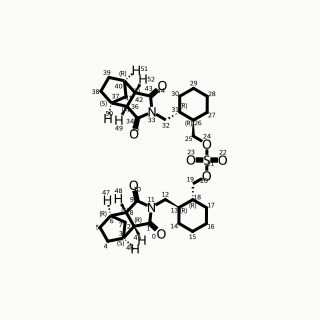 O=C1[C@@H]2[C@H]3CC[C@H](C3)[C@@H]2C(=O)N1C[C@@H]1CCCC[C@H]1COS(=O)(=O)OC[C@@H]1CCCC[C@H]1CN1C(=O)[C@@H]2[C@H]3CC[C@H](C3)[C@@H]2C1=O